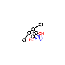 Nc1cc(C2(c3ccc(O)c(N)c3)c3cc(C#Cc4ccccc4)ccc3-c3ccc(C#Cc4ccccc4)cc32)ccc1O